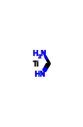 N=CN.[Ti]